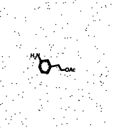 CC(=O)OCCc1cccc(N)c1